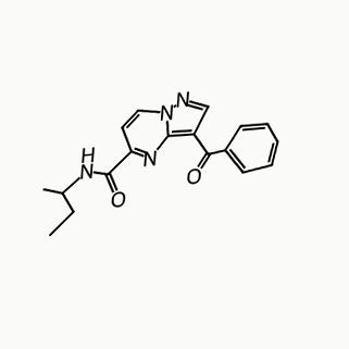 CCC(C)NC(=O)c1ccn2ncc(C(=O)c3ccccc3)c2n1